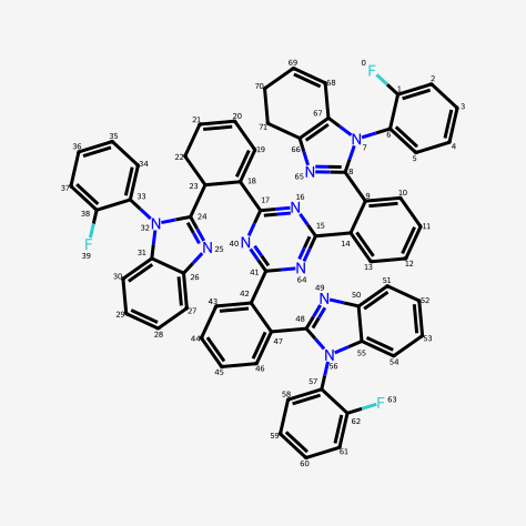 Fc1ccccc1-n1c(-c2ccccc2-c2nc(C3=CC=CCC3c3nc4ccccc4n3-c3ccccc3F)nc(-c3ccccc3-c3nc4ccccc4n3-c3ccccc3F)n2)nc2c1C=CCC2